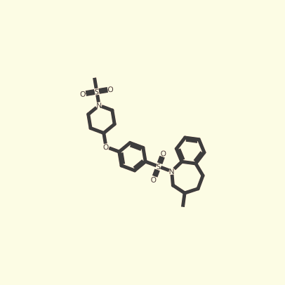 CC1CCc2ccccc2N(S(=O)(=O)c2ccc(OC3CCN(S(C)(=O)=O)CC3)cc2)C1